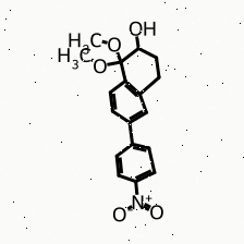 COC1(OC)c2ccc(-c3ccc([N+](=O)[O-])cc3)cc2CCC1O